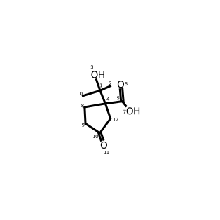 CC(C)(O)C1(C(=O)O)CCC(=O)C1